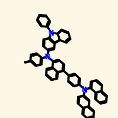 Cc1ccc(N(c2ccc3c(c2)C2C=CC=CC2N3c2ccccc2)c2ccc(-c3ccc(N(c4ccc5ccccc5c4)c4cccc5ccccc45)cc3)c3ccccc23)cc1